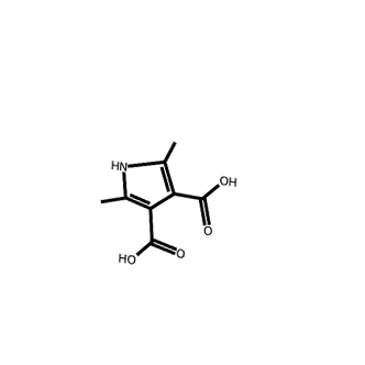 Cc1[nH]c(C)c(C(=O)O)c1C(=O)O